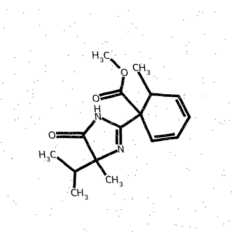 COC(=O)C1(C2=NC(C)(C(C)C)C(=O)N2)C=CC=CC1C